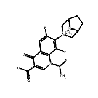 CC(F)n1cc(C(=O)O)c(=O)c2cc(F)c(N3CC4CCC(C3)N4C)c(F)c21